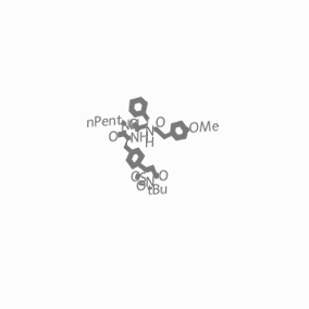 CCCCCNC(=O)[C@H](Cc1ccc(C2=CC(=O)N(C(C)(C)C)S2(=O)=O)cc1)NC(=O)[C@H](Cc1ccccc1)NC(=O)Cc1ccc(OC)cc1